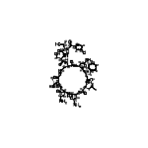 CC(C)C[C@@H]1NC(=O)[C@@H](Cc2ccccc2)NC(=O)[C@H](CCN)NC(=O)[C@@H](NC(=O)[C@@H](CO)NC(=O)[C@@H](NC(=O)c2cc(Cl)co2)[C@@H](C)O)CCNC(=O)[C@H]([C@@H](C)O)NCC(C=O)(CCN)NC(=O)[C@H](CCN)NC1=O